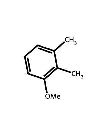 COc1[c]ccc(C)c1C